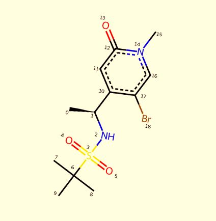 C[C@H](NS(=O)(=O)C(C)(C)C)c1cc(=O)n(C)cc1Br